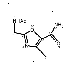 CC(=O)NCc1nc(C)c(C(N)=O)o1